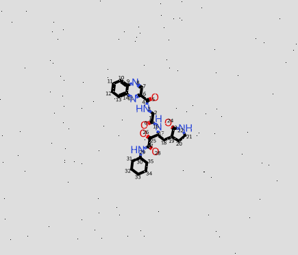 O=C(CNC(=O)c1cnc2ccccc2n1)NC(CC1CCNC1=O)C(=O)C(=O)NC1CCCCC1